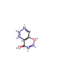 O=c1nnoc2cnnnc12